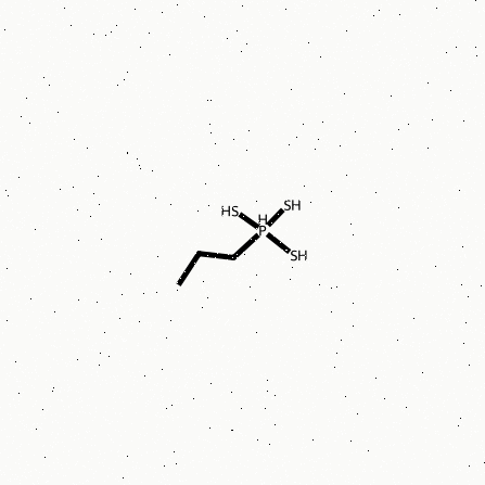 CCC[PH](S)(S)S